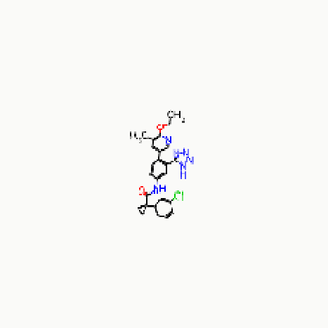 CCOc1ncc(-c2ccc(NC(=O)C3(c4cccc(Cl)c4)CC3)cc2-c2nnn[nH]2)cc1C